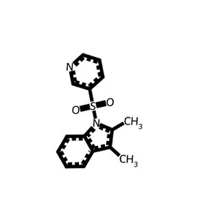 Cc1c(C)n(S(=O)(=O)c2cccnc2)c2ccccc12